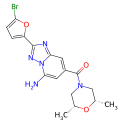 C[C@@H]1CN(C(=O)c2cc(N)n3nc(-c4ccc(Br)o4)nc3c2)C[C@H](C)O1